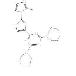 Cc1nccn1-c1nc(-c2nc(N3CCOCC3)nc(N3CCOCC3)n2)cs1